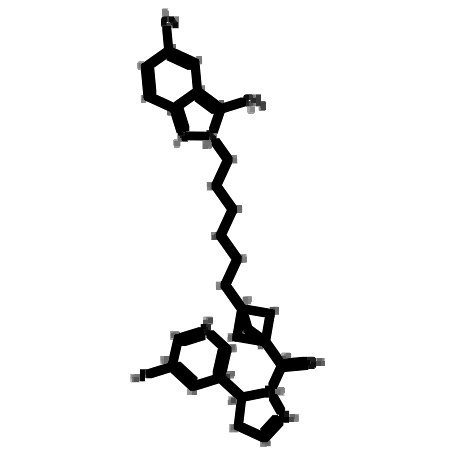 Cc1c2cc(C#N)ccc2nn1CCCCCCC12CC(C(=O)N3N=CCC3c3cncc(F)c3)(C1)C2